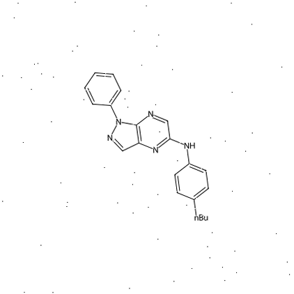 CCCCc1ccc(Nc2cnc3c(cnn3-c3ccccc3)n2)cc1